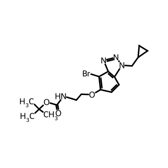 CC(C)(C)OC(=O)NCCOc1ccc2c(nnn2CC2CC2)c1Br